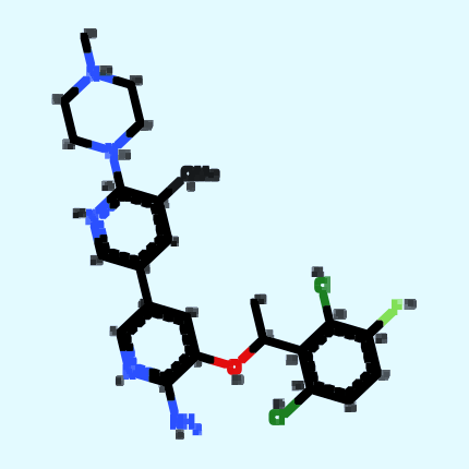 COc1cc(-c2cnc(N)c(OC(C)c3c(Cl)ccc(F)c3Cl)c2)cnc1N1CCN(C)CC1